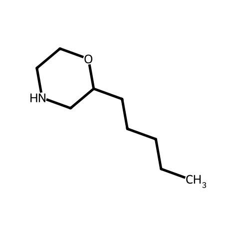 CCCCCC1CNCCO1